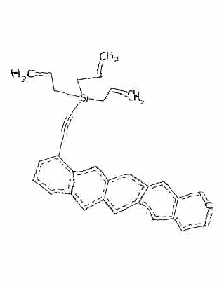 C=CC[Si](C#Cc1cccc2cc3cc4cc5ccccc5cc4cc3cc12)(CC=C)CC=C